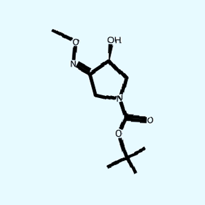 CON=C1CN(C(=O)OC(C)(C)C)C[C@@H]1O